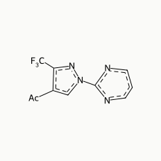 CC(=O)c1cn(-c2ncccn2)nc1C(F)(F)F